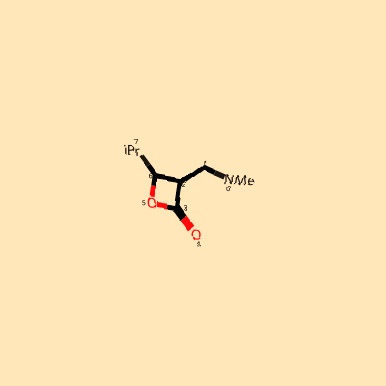 CNCC1C(=O)OC1C(C)C